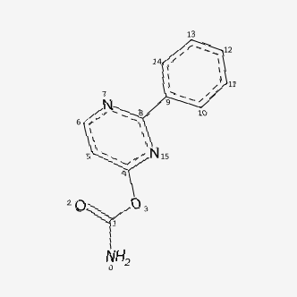 NC(=O)Oc1ccnc(-c2ccccc2)n1